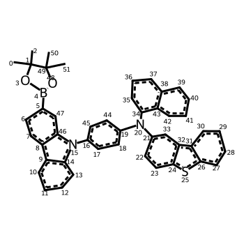 CC1(C)OB(c2ccc3c4ccccc4n(-c4ccc(N(c5ccc6sc7ccccc7c6c5)c5cccc6ccccc56)cc4)c3c2)OC1(C)C